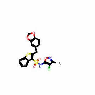 Cc1noc(NS(=O)(=O)c2c(Cc3ccc4c(c3)OCO4)sc3ccccc23)c1Cl